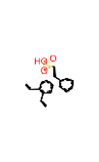 C=Cc1ccccc1C=C.O=S(=O)(O)C=Cc1ccccc1